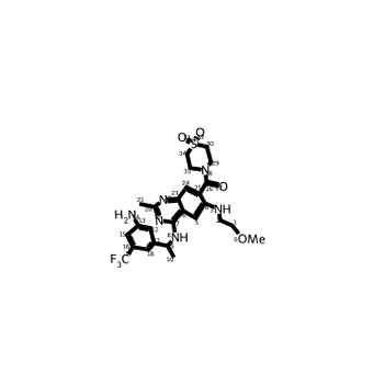 COCCNc1cc2c(NC(C)c3cc(N)cc(C(F)(F)F)c3)nc(C)nc2cc1C(=O)N1CCS(=O)(=O)CC1